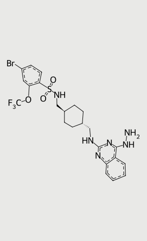 NNc1nc(NC[C@H]2CC[C@H](CNS(=O)(=O)c3ccc(Br)cc3OC(F)(F)F)CC2)nc2ccccc12